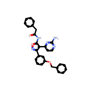 Nc1nccc(-c2c(-c3cccc(OCc4ccccc4)c3)noc2NC(=O)Cc2ccccc2)n1